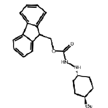 CC(C)(C)[C@H]1CC[C@H](NNC(=O)OCC2c3ccccc3-c3ccccc32)CC1